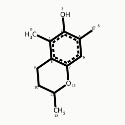 Cc1c(O)c(F)cc2c1CCC(C)O2